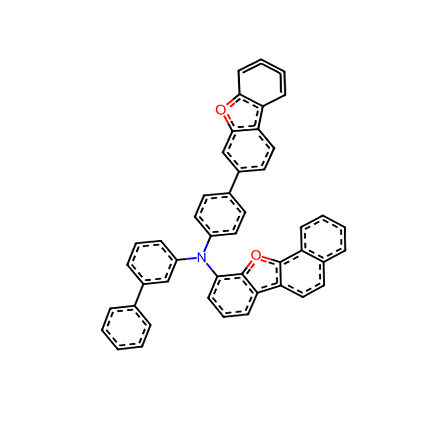 C1=C=Cc2c(oc3cc(-c4ccc(N(c5cccc(-c6ccccc6)c5)c5cccc6c5oc5c7ccccc7ccc65)cc4)ccc23)C=1